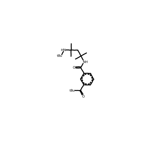 CC(C)(C)NC(C)(C)CC(C)(C)NC(=O)c1cccc(C(=O)C(C)(C)C)c1